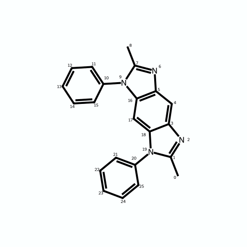 Cc1nc2cc3nc(C)n(-c4ccccc4)c3cc2n1-c1ccccc1